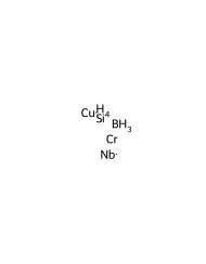 B.[Cr].[Cu].[Nb].[SiH4]